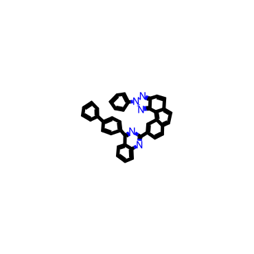 c1ccc(-c2ccc(-c3nc(-c4ccc5ccc6ccc7nn(-c8ccccc8)nc7c6c5c4)nc4ccccc34)cc2)cc1